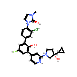 Cn1ccn(-c2ccc(-c3cc(F)cc(-c4ccnc(N5CC[C@@](O)(C6CC6)C5)c4)c3O)cc2Cl)c1=O